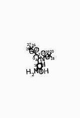 CC(CC(Cc1ccc(O)c(N)c1)NC(=O)OC(C)(C)C)C(=O)OC(C)(C)C